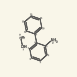 CCCO.Nc1ccccc1-c1ccccc1